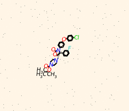 CC(C)(C)OC(=O)N1CCN(C[C@@H]2OC(=O)N(c3ccc(Oc4ccc(Cl)cc4)cc3)[C@H]2c2cccc(F)c2)CC1